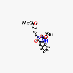 COC(=O)CCCCCNC(=O)[C@H](Cc1ccccc1)NC(=O)OC(C)(C)C